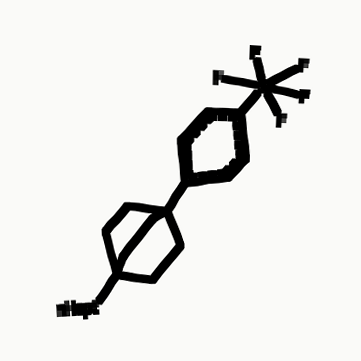 CCCCCCCC12CCC(c3ccc(S(F)(F)(F)(F)F)cc3)(CC1)CC2